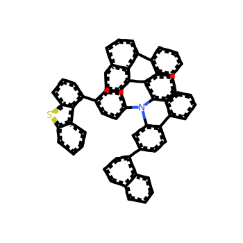 c1ccc(-c2ccc(-c3cccc4ccccc34)cc2N(c2ccc(-c3cccc4sc5ccccc5c34)cc2)c2ccccc2-c2cccc3cccc(-c4ccccc4)c23)cc1